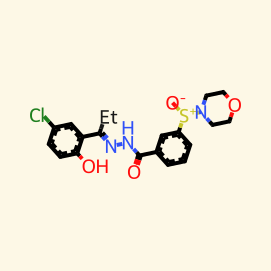 CC/C(=N\NC(=O)c1cccc([S+]([O-])N2CCOCC2)c1)c1cc(Cl)ccc1O